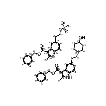 Cc1[nH]c2ccc(CCN3CCC(O)CC3)cc2c1C(=O)OCc1ccccc1.Cc1[nH]c2ccc(CCOS(C)(=O)=O)cc2c1C(=O)OCc1ccccc1